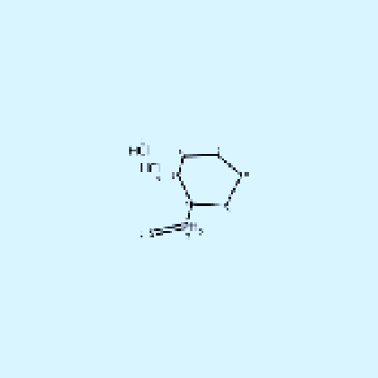 Cl.Cl.S=[PH2]C1CCCCC1